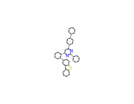 c1ccc(-c2ccc(-c3cc(-c4ccccc4-c4ccc5sc6ccccc6c5c4)nc(-c4ccccc4)n3)cc2)cc1